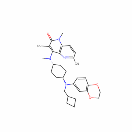 Cn1c(=O)c(C#N)c(N(C)[C@H]2CC[C@H](N(CC3CCC3)c3ccc4c(c3)OCCO4)CC2)c2nc(C#N)ccc21